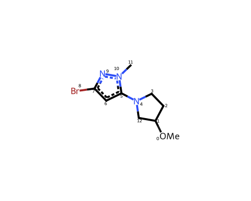 COC1CCN(c2cc(Br)nn2C)C1